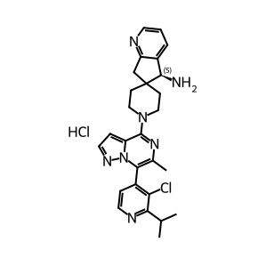 Cc1nc(N2CCC3(CC2)Cc2ncccc2[C@H]3N)c2ccnn2c1-c1ccnc(C(C)C)c1Cl.Cl